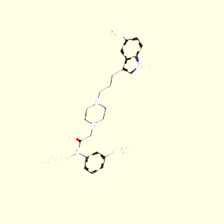 CCCCCN(C(=O)CN1CCN(CCCc2c[nH]c3ccc(C#N)cc23)CC1)c1cccc(OC)c1